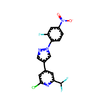 O=[N+]([O-])c1ccc(-n2cc(-c3cc(Cl)nc(C(F)F)c3)cn2)c(F)c1